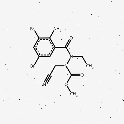 CCN(C(=O)c1cc(Br)cc(Br)c1N)N(CC#N)C(=O)OC